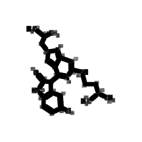 CC(C)Cn1cc2c(C3C(=O)Nc4ccc(Cl)cc43)nc(NCCN(C)C)nc2n1